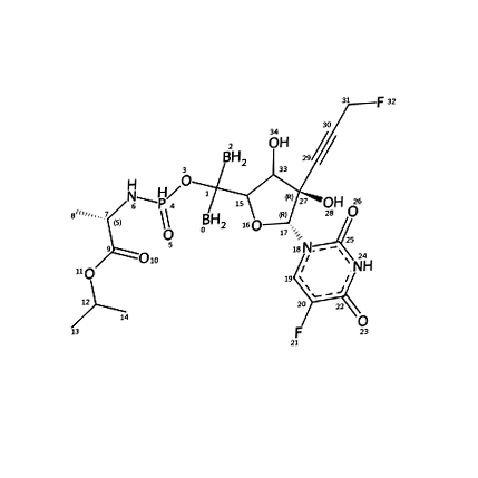 BC(B)(O[PH](=O)N[C@@H](C)C(=O)OC(C)C)C1O[C@@H](n2cc(F)c(=O)[nH]c2=O)[C@@](O)(C#CCF)C1O